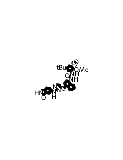 COc1c(NC(=O)Nc2ccc(Oc3ccnc(Nc4ccc5c(c4)C(=O)NC5)n3)c3ccccc23)cc(C(C)(C)C)cc1P(C)(C)=O